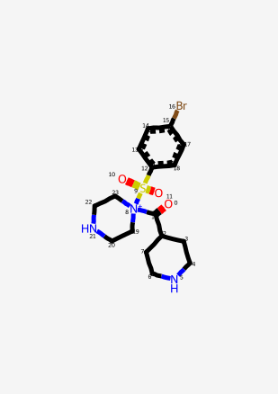 O=C(C1CCNCC1)[N+]1(S(=O)(=O)c2ccc(Br)cc2)CCNCC1